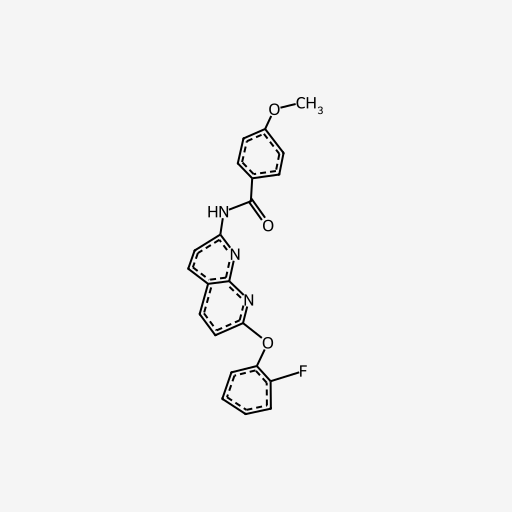 COc1ccc(C(=O)Nc2ccc3ccc(Oc4ccccc4F)nc3n2)cc1